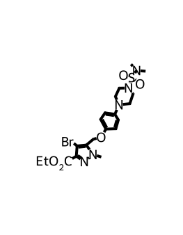 CCOC(=O)c1nn(C)c(COc2ccc(N3CCN(S(=O)(=O)N(C)C)CC3)cc2)c1Br